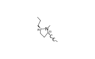 CCC[C@@H]1CC[C@H](CCC)N1C